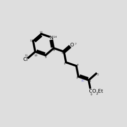 CCOC(=O)/C(C)=C/CCC(=O)c1cc(Cl)ccn1